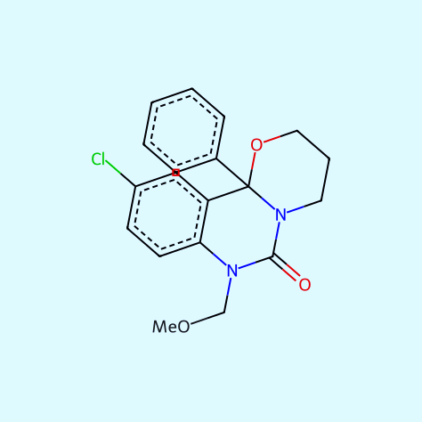 COCN1C(=O)N2CCCOC2(c2ccccc2)c2cc(Cl)ccc21